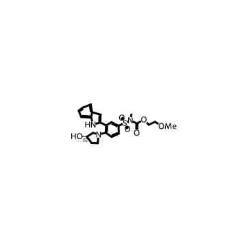 COCCOC(=O)N(C)S(=O)(=O)c1ccc(N2CC[C@H](O)C2)c(-c2cc3ccccc3[nH]2)c1